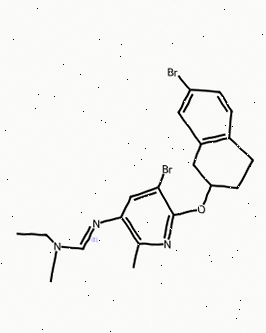 CCN(C)/C=N/c1cc(Br)c(OC2CCc3ccc(Br)cc3C2)nc1C